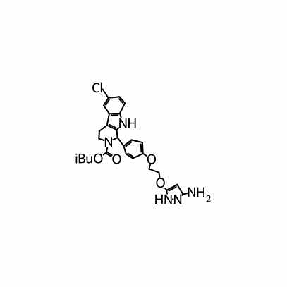 CC(C)COC(=O)N1CCc2c([nH]c3ccc(Cl)cc23)C1c1ccc(OCCOc2cc(N)n[nH]2)cc1